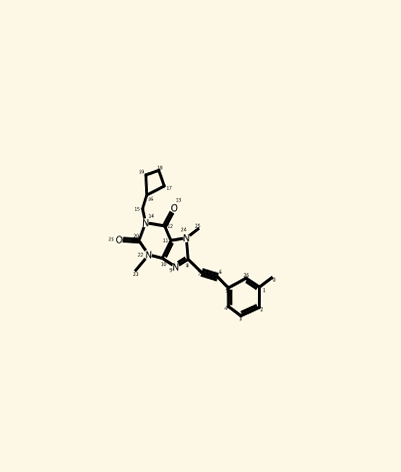 Cc1cccc(C#Cc2nc3c(c(=O)n(CC4CCC4)c(=O)n3C)n2C)c1